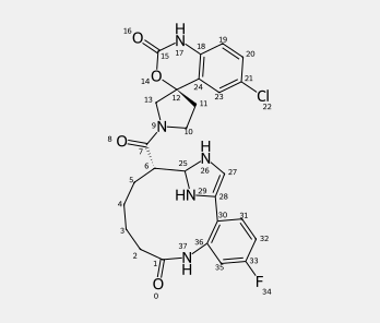 O=C1CCCC[C@H](C(=O)N2CC[C@@]3(C2)OC(=O)Nc2ccc(Cl)cc23)C2NC=C(N2)c2ccc(F)cc2N1